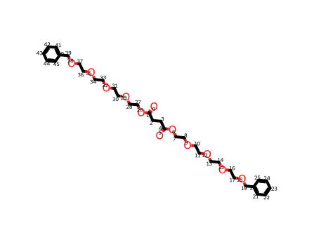 O=C(CCC(=O)OCCOCCOCCOCCOCc1ccccc1)OCCOCCOCCOCCOCc1ccccc1